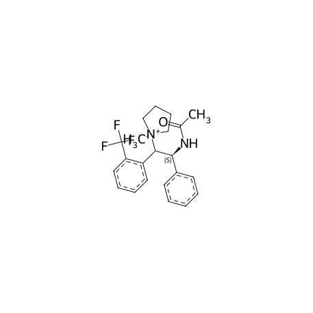 CC(=O)N[C@@H](c1ccccc1)C(c1ccccc1C(F)(F)F)[N+]1(C)CCCC1